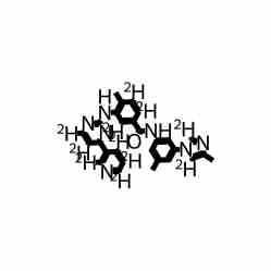 [2H]c1nc(Nc2c([2H])c(C(=O)Nc3cc(C)cc(-n4c([2H])nc(C)c4[2H])c3)c([2H])c([2H])c2C)nc(-c2c([2H])nc([2H])c([2H])c2[2H])c1[2H]